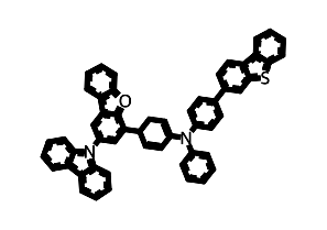 C1=CC(c2cc(-n3c4ccccc4c4ccccc43)cc3c2oc2ccccc23)CC=C1N(c1ccccc1)c1ccc(-c2ccc3c(c2)sc2ccccc23)cc1